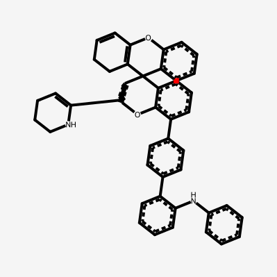 C1=CC2=C(CC1)C1(c3ccccc3O2)c2ccc(C3=CCCCN3)cc2Oc2c(-c3ccc(-c4ccccc4Nc4ccccc4)cc3)cccc21